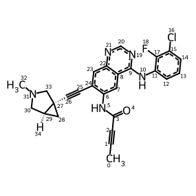 CC#CC(=O)Nc1cc2c(Nc3cccc(Cl)c3F)ncnc2cc1C#C[C@]12C[C@H]1CN(C)C2